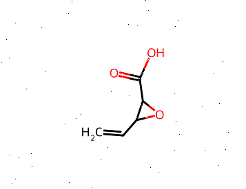 C=CC1OC1C(=O)O